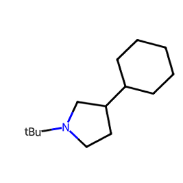 CC(C)(C)N1CCC(C2CCCCC2)C1